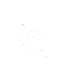 COc1ccc(CC(=O)OC2(c3ccccc3)CCNCC2)cc1